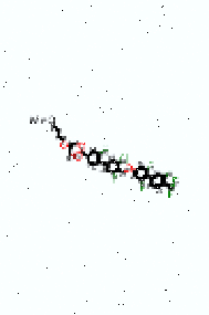 COCCCCOC1COC(c2ccc(-c3cc(F)c(COc4cc(F)c(-c5ccc(C(F)F)c(F)c5)c(F)c4)c(Cl)c3)c(F)c2)OC1